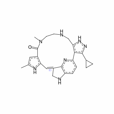 Cc1cc2c([nH]1)/C=C1\CNc3ccc(nc31)-c1c(C3CC3)n[nH]c1CNCCN(C)C2=O